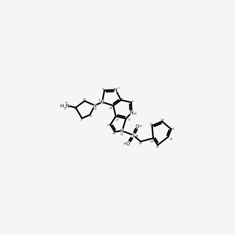 NC1CCN(n2cnc3cnc4c(ccn4S(=O)(=O)Cc4ccccc4)c32)C1